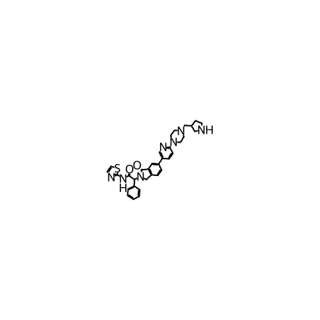 O=C(Nc1nccs1)C(c1ccccc1)N1Cc2ccc(-c3ccc(N4CCN(CC5CCNC5)CC4)nc3)cc2C1=O